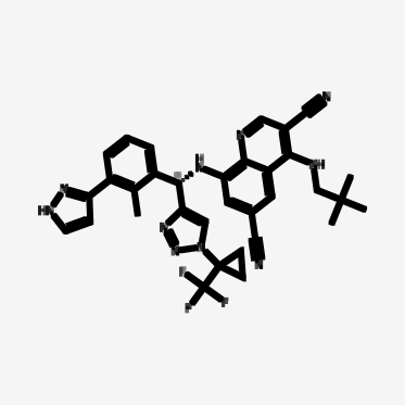 Cc1c(-c2cc[nH]n2)cccc1[C@H](Nc1cc(C#N)cc2c(NCC(C)(C)C)c(C#N)cnc12)c1cn(C2(C(F)(F)F)CC2)nn1